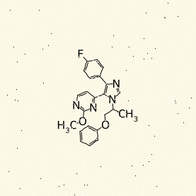 COc1nccc(-c2c(-c3ccc(F)cc3)ncn2C(C)COc2ccccc2)n1